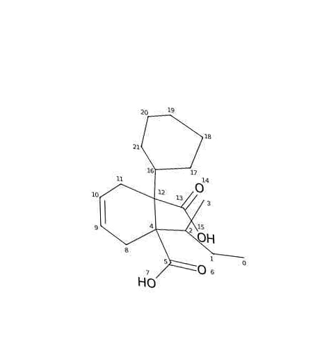 CCC(C)C1(C(=O)O)CC=CCC1(C(=O)O)C1CCCCC1